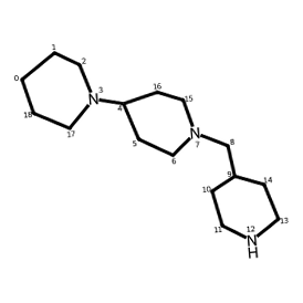 C1CCN(C2CCN(CC3CCNCC3)CC2)CC1